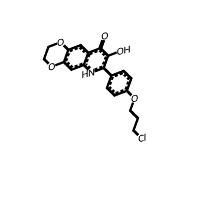 O=c1c(O)c(-c2ccc(OCCCCl)cc2)[nH]c2cc3c(cc12)OCCO3